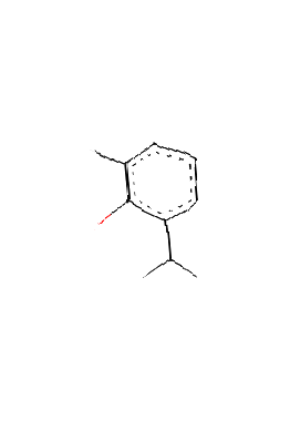 CCC(C)c1cccc(C(CC)C(F)(F)F)c1O